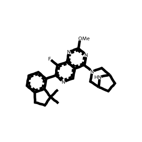 COc1nc(N2CC3CCC(C2)N3)c2cnc(-c3cccc4c3C(C)(C)CC4)c(F)c2n1